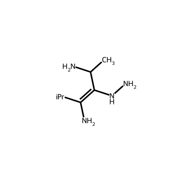 CC(C)/C(N)=C(/NN)C(C)N